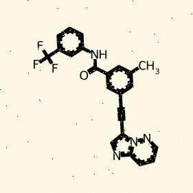 Cc1cc(C#Cc2cnc3cccnn23)cc(C(=O)Nc2cccc(C(F)(F)F)c2)c1